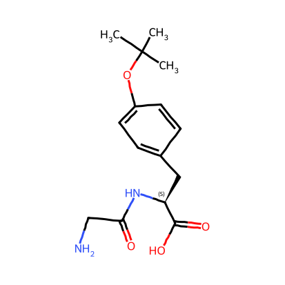 CC(C)(C)Oc1ccc(C[C@H](NC(=O)CN)C(=O)O)cc1